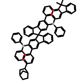 CC1(C)c2ccccc2-c2cc(N(c3ccccc3)c3cc4c(cc3-c3ccccc3)-c3ccccc3C43c4ccccc4-c4cc(-c5ccc(C6CC7CCC6C7)cc5)c(N(c5ccccc5)c5ccccc5)cc43)ccc21